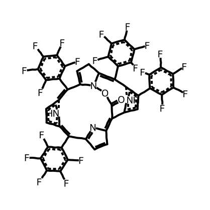 O=C1ON2C3=CCC2=C(c2c(F)c(F)c(F)c(F)c2F)c2[nH]c(cc2-c2c(F)c(F)c(F)c(F)c2F)C1=C1C=CC(=N1)C(c1c(F)c(F)c(F)c(F)c1F)=c1ccc([nH]1)=C3c1c(F)c(F)c(F)c(F)c1F